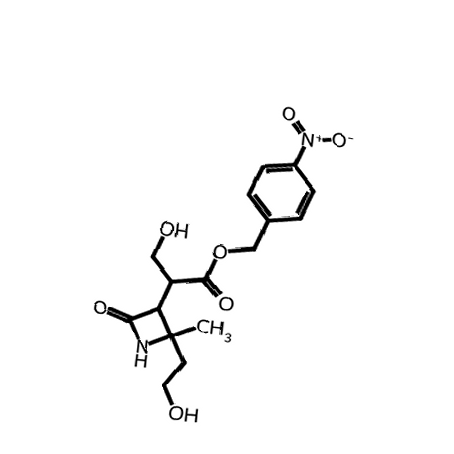 CC1(CCO)NC(=O)C1C(CO)C(=O)OCc1ccc([N+](=O)[O-])cc1